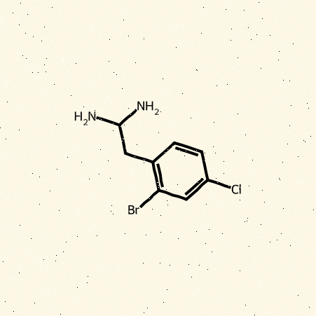 NC(N)Cc1ccc(Cl)cc1Br